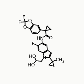 CC1(c2cc3cc(NC(=O)C4(c5ccc6c(c5)OC(F)(F)O6)CC4)c(F)cc3n2CC(O)O)CC1